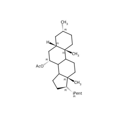 CCC[C@@H](C)[C@H]1CCC2C3C(CC[C@@]21C)[C@@]1(C)CC[C@@H](C)C[C@H]1C[C@H]3OC(C)=O